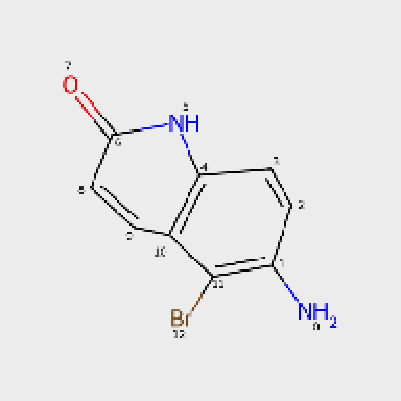 Nc1ccc2[nH]c(=O)ccc2c1Br